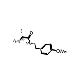 COc1ccc(CCNC(=O)[C@@H](C)O)cc1